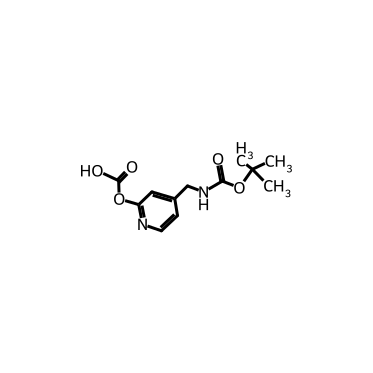 CC(C)(C)OC(=O)NCc1ccnc(OC(=O)O)c1